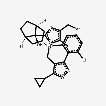 CC(=O)Cc1nc([C@]2(O)[C@@H]3CC[C@H]2C[C@H](OCc2c(-c4c(Cl)cccc4Cl)noc2C2CC2)C3)oc1C